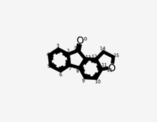 O=C1c2ccccc2-c2ccc3c(c21)CCO3